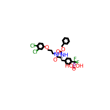 O=C(N[C@@H](Cc1ccc(C(F)(F)P(=O)(O)O)cc1)C(=O)NCCCOc1ccc(Cl)c(Cl)c1)OCc1ccccc1